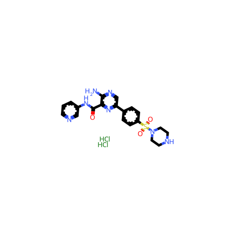 Cl.Cl.Nc1ncc(-c2ccc(S(=O)(=O)N3CCNCC3)cc2)nc1C(=O)Nc1cccnc1